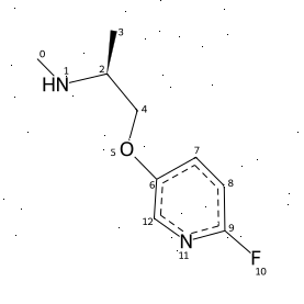 CN[C@@H](C)COc1ccc(F)nc1